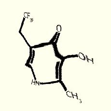 Cc1[nH]cc(CC(F)(F)F)c(=O)c1O